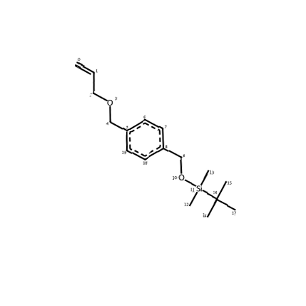 C=CCOCc1ccc(CO[Si](C)(C)C(C)(C)C)cc1